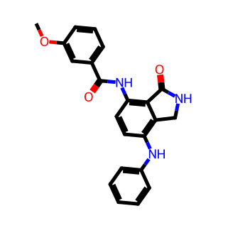 COc1cccc(C(=O)Nc2ccc(Nc3ccccc3)c3c2C(=O)NC3)c1